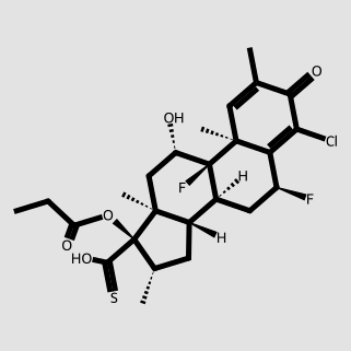 CCC(=O)O[C@]1(C(O)=S)[C@@H](C)C[C@H]2[C@@H]3C[C@H](F)C4=C(Cl)C(=O)C(C)=C[C@]4(C)[C@@]3(F)[C@@H](O)C[C@@]21C